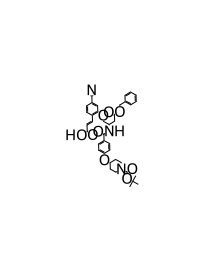 CC(C)(C)OC(=O)N1CCC(Oc2ccc(C(=O)NC(COc3cc(C#N)ccc3C=CC(=O)O)CC(=O)OCc3ccccc3)cc2)CC1